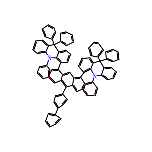 c1ccc(-c2ccc(-c3c4cccc(-c5cccc6c5N(c5ccccc5)c5ccccc5C6(c5ccccc5)c5ccccc5)c4cc4c(-c5cccc6c5N(c5ccccc5)c5ccccc5C6(c5ccccc5)c5ccccc5)cccc34)cc2)cc1